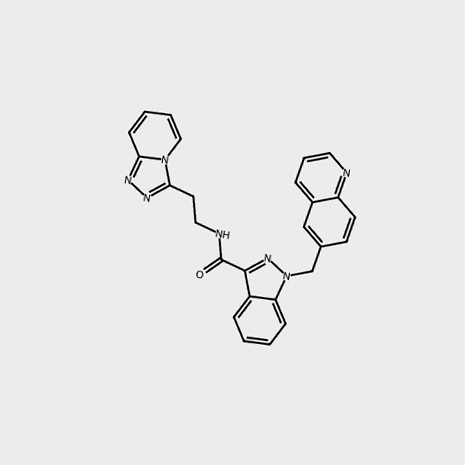 O=C(NCCc1nnc2ccccn12)c1nn(Cc2ccc3ncccc3c2)c2ccccc12